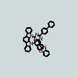 c1ccc(-c2ccc(-c3nc(-c4ccccc4)nc(-n4c5ccccc5c5ccc6c7ccccc7n(-c7cccc(-c8nc9ccccc9o8)c7)c6c54)n3)cc2)cc1